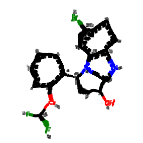 OC1C[C@H](c2ccccc2OC(F)F)n2c1nc1ccc(Br)cc12